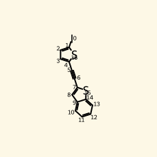 Ic1ccc(C#Cc2cc3ccccc3s2)s1